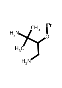 CC(C)OC(CN)C(C)(C)N